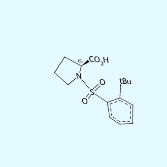 CC(C)(C)c1ccccc1S(=O)(=O)N1CCC[C@H]1C(=O)O